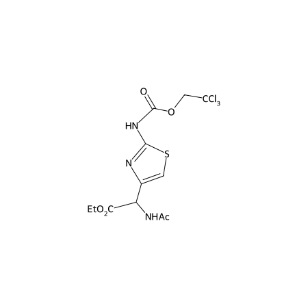 CCOC(=O)C(NC(C)=O)c1csc(NC(=O)OCC(Cl)(Cl)Cl)n1